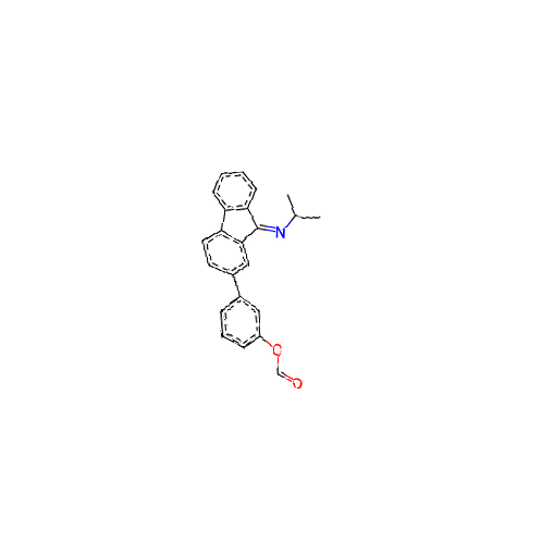 CC(C)/N=C1\c2ccccc2-c2ccc(-c3cccc(OC=O)c3)cc21